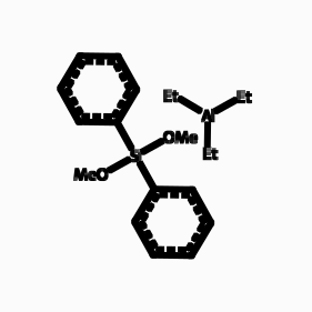 CO[Si](OC)(c1ccccc1)c1ccccc1.C[CH2][Al]([CH2]C)[CH2]C